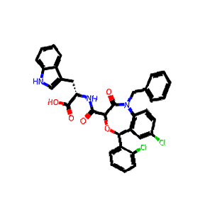 O=C(N[C@@H](Cc1c[nH]c2ccccc12)C(=O)O)C1OC(c2ccccc2Cl)c2cc(Cl)ccc2N(Cc2ccccc2)C1=O